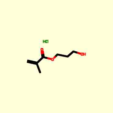 C=C(C)C(=O)OCCCO.Cl